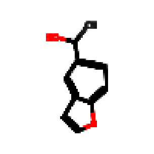 N#CC(O)c1ccc2occc2c1